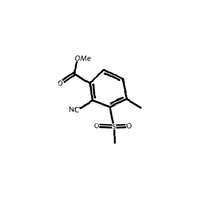 COC(=O)c1ccc(C)c(S(C)(=O)=O)c1C#N